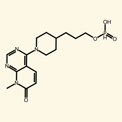 Cn1c(=O)ccc2c(N3CCC(CCCO[PH](=O)O)CC3)ncnc21